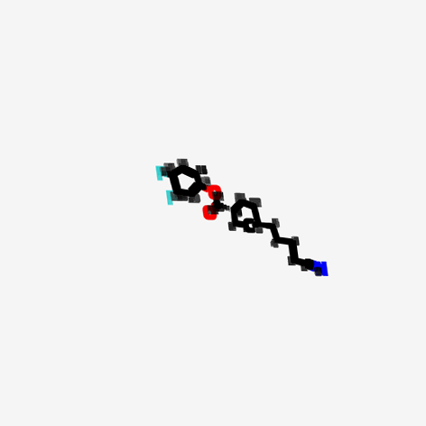 N#CC=CCC[C@H]1CC[C@H](C(=O)Oc2ccc(F)c(F)c2)CC1